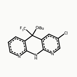 CC(C)COC1(C(F)(F)F)c2cccnc2Nc2ncc(Cl)cc21